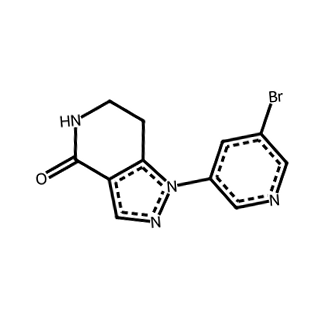 O=C1NCCc2c1cnn2-c1cncc(Br)c1